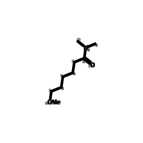 COCCCCCC(=O)N(C)C